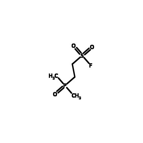 CP(C)(=O)CCS(=O)(=O)F